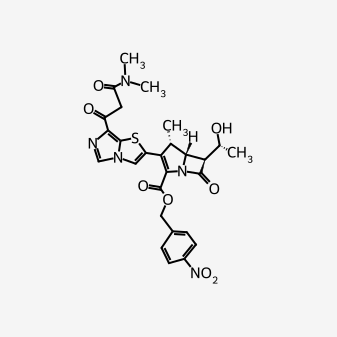 C[C@@H](O)[C@H]1C(=O)N2C(C(=O)OCc3ccc([N+](=O)[O-])cc3)=C(c3cn4cnc(C(=O)CC(=O)N(C)C)c4s3)[C@H](C)[C@H]12